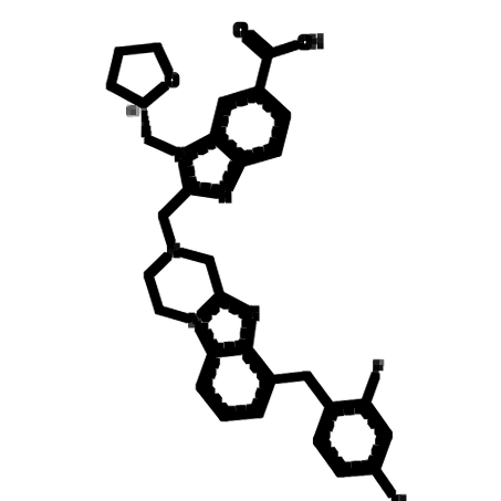 O=C(O)c1ccc2nc(CN3CCn4c(nc5c(Cc6ccc(Cl)cc6F)cccc54)C3)n(C[C@@H]3CCCO3)c2c1